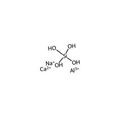 O[Si](O)(O)O.[Al+3].[Ca+2].[Na+]